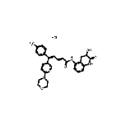 Cl.O=C(C=CC=C(c1ccc(C(F)(F)F)cc1)c1ccc(N2CCOCC2)nc1)Nc1cccc2c1CC(O)C(=O)N2